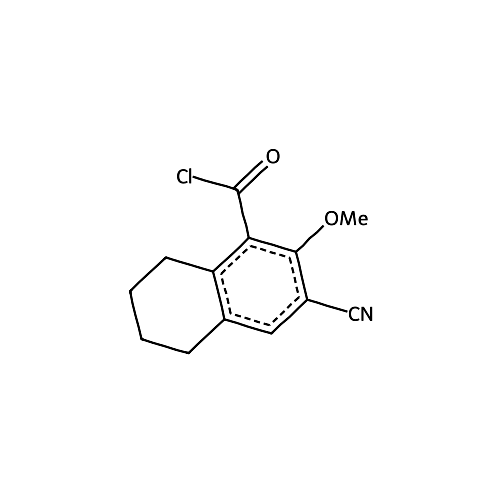 COc1c(C#N)cc2c(c1C(=O)Cl)CCCC2